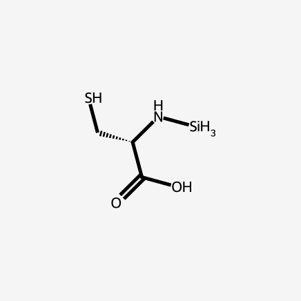 O=C(O)[C@H](CS)N[SiH3]